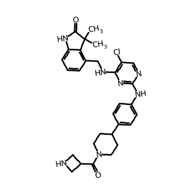 CC1(C)C(=O)Nc2cccc(CNc3nc(Nc4ccc(C5CCN(C(=O)C6CNC6)CC5)cc4)ncc3Cl)c21